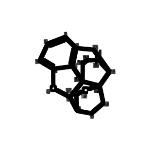 c1cc2c3c(c1)OC1C4CCC5(CC4)C(C2)NCCC315